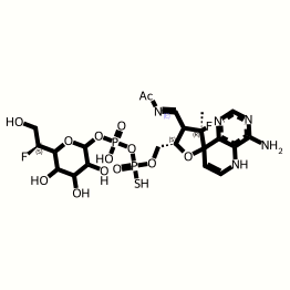 CC(=O)/N=C/C1[C@@H](COP(=O)(S)OP(=O)(O)OC2OC([C@@H](F)CO)C(O)C(O)C2O)OC2(C=CNc3c(N)ncnc32)[C@]1(C)F